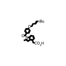 CCCCC=CCCOc1ccc(C(=O)n2c(C)cc3c(CC(=O)O)cccc32)cc1